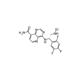 CCNC[C@@H](Nc1ncnc2c(C(N)=O)ccnc12)c1cc(F)c(F)cc1F